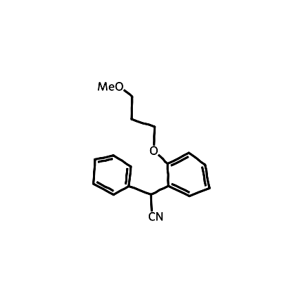 COCCCOc1ccccc1C(C#N)c1ccccc1